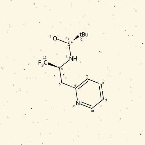 CC(C)(C)[S@+]([O-])N[C@@H](Cc1ccccn1)C(F)(F)F